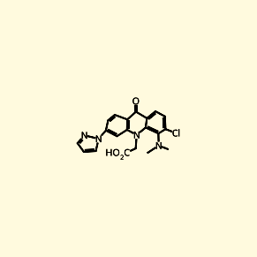 CN(C)c1c(Cl)ccc2c(=O)c3ccc(-n4cccn4)cc3n(CC(=O)O)c12